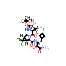 CC(C)(C)OC(=O)N[C@H](C(=O)N1C[C@H]2[C@@H]([C@H]1C(=O)N[C@H](CC1CCC1)C(=O)C(N)=O)C2(Cl)Cl)C(C)(C)C